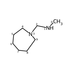 CNCN1CCCCCC1